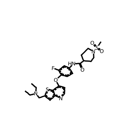 CCN(CC)Cc1cc2nccc(Oc3ccc(NC(=O)C4CCN(S(C)(=O)=O)CC4)cc3F)c2s1